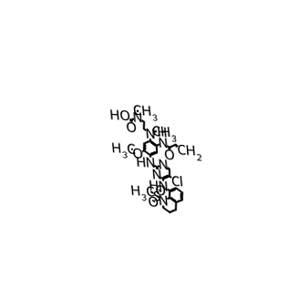 C=CC(=O)Nc1cc(Nc2ncc(Cl)c(Nc3cccc4c3N(S(C)(=O)=O)CCC4)n2)c(OC)cc1N(C)CCN(C)C(=O)O